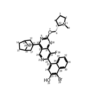 CN1CCC[C@H]1COc1nc(C2CC3CCC(C2)N3)c2cnc(-c3cc(O)c(Br)c4ccccc34)c(F)c2n1